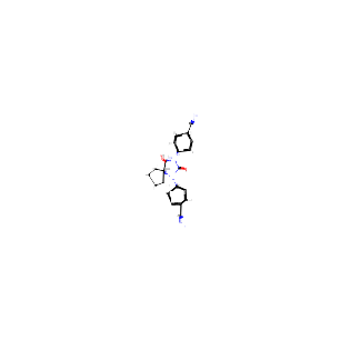 N#Cc1ccc(N2C(=O)N(c3ccc(C#N)cc3)C3(CCCC3)C2=O)cc1